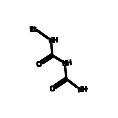 CCNC(=O)NC([NH])=O